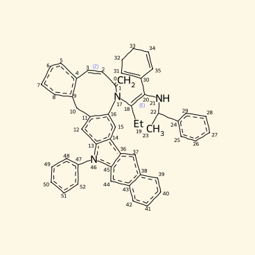 C=C1/C=C\c2ccccc2Cc2cc3c(cc2N1/C(CC)=C(/NC(C)c1ccccc1)C1=CCCC=C1)c1cc2ccccc2cc1n3-c1ccccc1